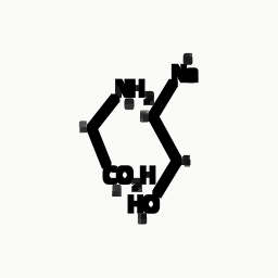 NCC(=O)O.OC[CH2][Na]